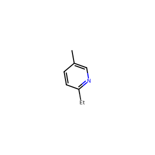 CCc1ccc(C)cn1